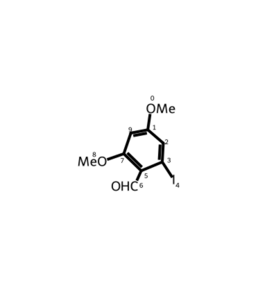 COc1cc(I)c(C=O)c(OC)c1